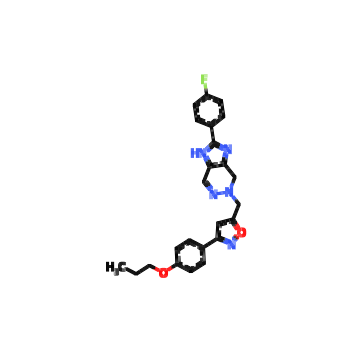 CCCOc1ccc(-c2cc(CN3Cc4nc(-c5ccc(F)cc5)[nH]c4C=N3)on2)cc1